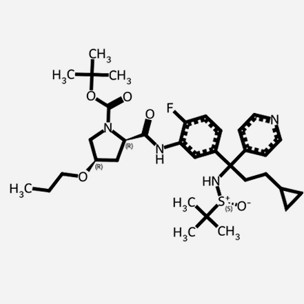 CCCO[C@@H]1C[C@H](C(=O)Nc2cc(C(CCC3CC3)(N[S@+]([O-])C(C)(C)C)c3ccncc3)ccc2F)N(C(=O)OC(C)(C)C)C1